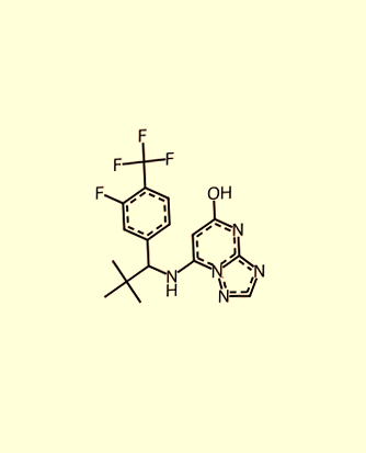 CC(C)(C)C(Nc1cc(O)nc2ncnn12)c1ccc(C(F)(F)F)c(F)c1